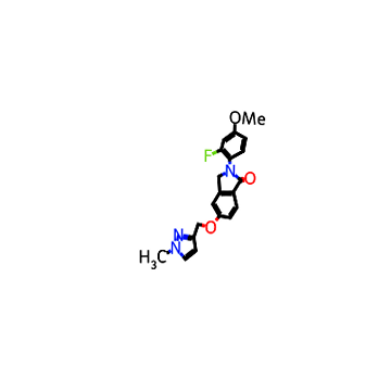 COc1ccc(N2Cc3cc(OCc4ccn(C)n4)ccc3C2=O)c(F)c1